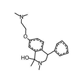 CN(C)CCOc1ccc2c(c1)C(C)(O)N(C)CC2c1ccccc1